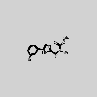 CCCN(C(=O)OC(C)(C)C)[C@@H](C)c1ncc(-c2cccc(Br)c2)[nH]1